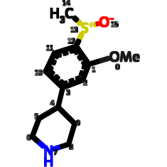 COc1cc(C2CCNCC2)ccc1[S+](C)[O-]